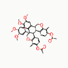 COc1ccc(C23COc4c(ccc(OC(C)=O)c4C)C2C2c4ccc(OC(C)=O)c(C)c4OCC2c2cc(OC)c(OC)cc23)cc1OC